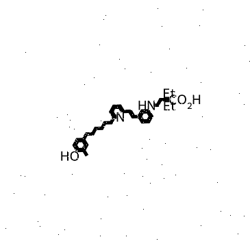 CCC(CC)(CCNc1cccc(C=Cc2cccc(CCCCCCc3ccc(O)c(C)c3)n2)c1)C(=O)O